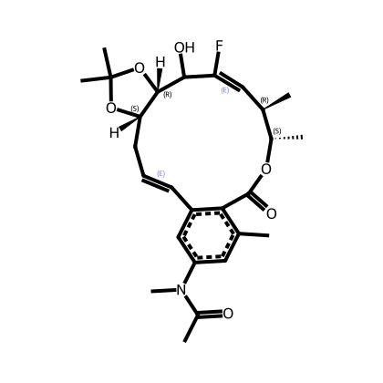 CC(=O)N(C)c1cc(C)c2c(c1)/C=C/C[C@@H]1OC(C)(C)O[C@@H]1C(O)/C(F)=C\[C@@H](C)[C@H](C)OC2=O